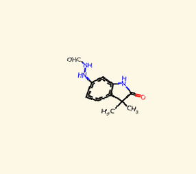 CC1(C)C(=O)Nc2cc(NNC=O)ccc21